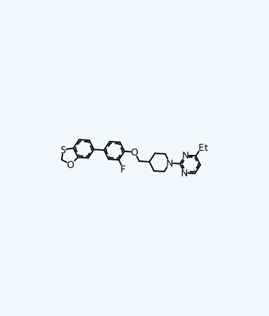 CCc1ccnc(N2CCC(COc3ccc(-c4ccc5c(c4)OCS5)cc3F)CC2)n1